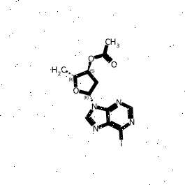 [CH2][C@H]1O[C@@H](n2cnc3c(I)ncnc32)C[C@@H]1OC(C)=O